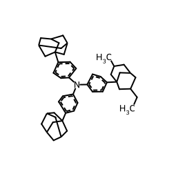 CCC1CC2CC(C)CC(c3ccc(N(c4ccc(C56CC7CC(CC(C7)C5)C6)cc4)c4ccc(C56CC7CC(CC(C7)C5)C6)cc4)cc3)(C1)C2